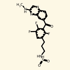 CNc1cnc2ccc(C(=O)c3c(F)c(F)cc(CCCN[SH](=O)=O)c3F)cc2n1